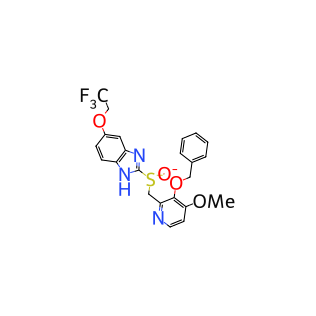 COc1ccnc(C[S+]([O-])c2nc3cc(OCC(F)(F)F)ccc3[nH]2)c1OCc1ccccc1